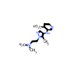 Cc1c(Nc2cnccc2C(=O)O)cnn1CCN(C)C